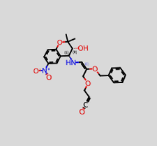 CC1(C)Oc2ccc([N+](=O)[O-])cc2[C@H](N/C=C(\COCC=C=O)OCc2ccccc2)[C@H]1O